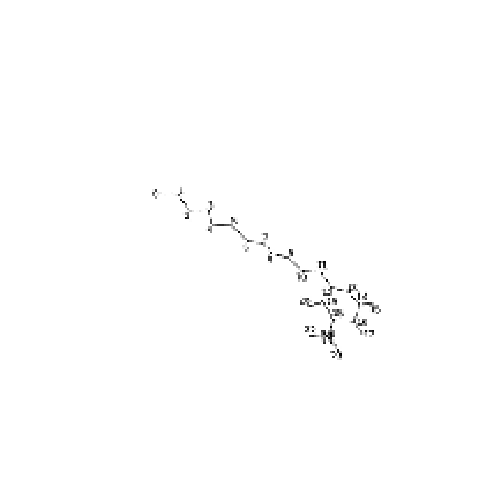 CCCCCCCCCCCCCCC(C)C(C)C(CC)N(C)C